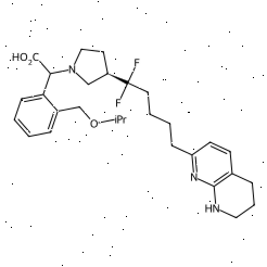 CC(C)OCc1ccccc1C(C(=O)O)N1CC[C@@H](C(F)(F)CCCCc2ccc3c(n2)NCCC3)C1